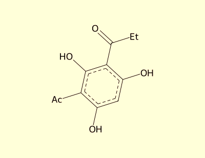 CCC(=O)c1c(O)cc(O)c(C(C)=O)c1O